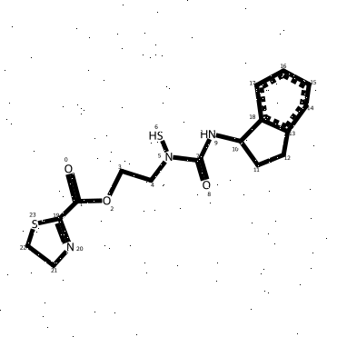 O=C(OCCN(S)C(=O)NC1CCc2ccccc21)C1=NCCS1